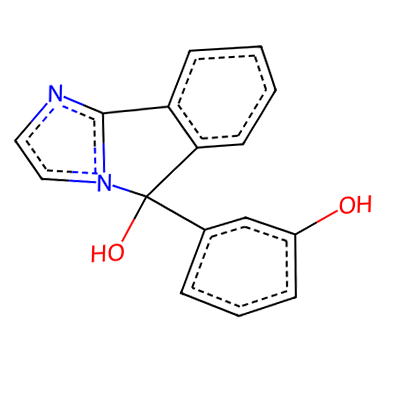 Oc1cccc(C2(O)c3ccccc3-c3nccn32)c1